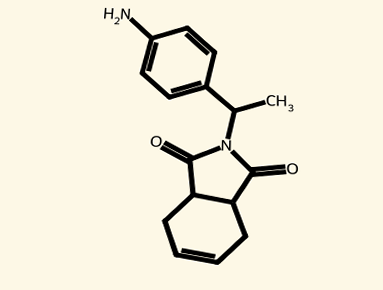 CC(c1ccc(N)cc1)N1C(=O)C2CC=CCC2C1=O